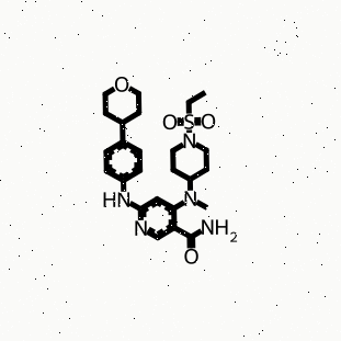 CCS(=O)(=O)N1CCC(N(C)c2cc(Nc3ccc(C4CCOCC4)cc3)ncc2C(N)=O)CC1